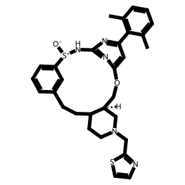 Cc1cccc(C)c1-c1cc2nc(n1)N[S+]([O-])c1cccc(c1)CCC1CCN(Cc3nccs3)C[C@@H]1CO2